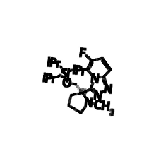 CC(C)[Si](OC[C@@]1(c2nnc3ccc(F)cn23)CCCN1C)(C(C)C)C(C)C